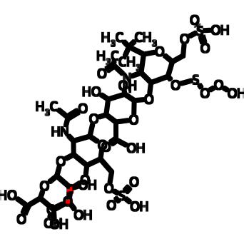 CC(=O)NC1C(OC2C(C(=O)O)OC(OC3C(NC(C)=O)C(C(C)(C)C)OC(COS(=O)(=O)O)C3OSOOO)C(O)C2O)OC(COS(=O)(=O)O)C(OSOOO)C1OC1OC(C(=O)O)C(O)C(O)C1O